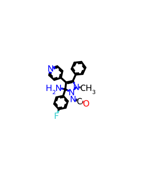 CN1C(c2ccccc2)=C(c2ccncc2)C(N)(c2ccc(F)cc2)N1N=C=O